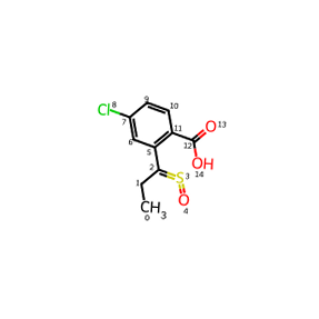 CCC(=S=O)c1cc(Cl)ccc1C(=O)O